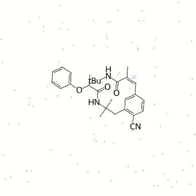 C/C(=C/c1ccc(C#N)c(CC(C)(C)NC(=O)C(C)Oc2ccccc2)c1)C(=O)NC(C)(C)C